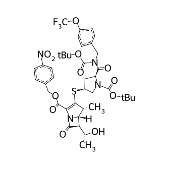 C[C@@H](O)[C@H]1C(=O)N2C(C(=O)OCc3ccc([N+](=O)[O-])cc3)=C(S[C@H]3C[C@@H](C(=O)N(Cc4ccc(OC(F)(F)F)cc4)C(=O)OC(C)(C)C)N(C(=O)OC(C)(C)C)C3)[C@H](C)[C@H]12